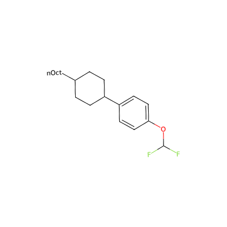 CCCCCCCCC1CCC(c2ccc(OC(F)F)cc2)CC1